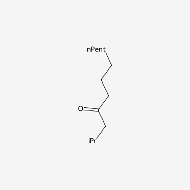 CCCCCCCCC(=O)CC(C)C